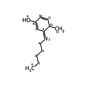 CCCCCN=C1C=C(O)C=CC1C